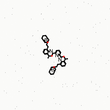 C/C(=N\c1c(CCCB2C3CCCC2CCC3)cccc1C(C)C)c1cccc(/C(C)=N/c2c(CCCB3C4CCCC3CCC4)cccc2C(C)C)n1